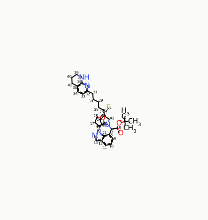 CC(C)(C)OC(=O)C(c1cccc2cnn([C@@H]3CCOC3)c12)N1CC[C@@H]([C@@H](F)CCCCc2ccc3c(n2)NCCC3)C1